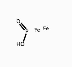 O=PO.[Fe].[Fe]